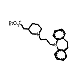 CCOC(=O)CC1CCCN(CCCN2c3ccccc3CCc3ccccc32)C1